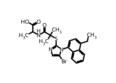 CCc1ccc(-n2c(Br)cnc2SC(C)(C)C(=O)NC(C)C(=O)O)c2ccccc12